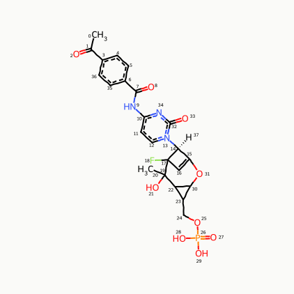 CC(=O)c1ccc(C(=O)Nc2ccn([C@H]3C4=CC3(F)C(C)(O)C3C(COP(=O)(O)O)C3O4)c(=O)n2)cc1